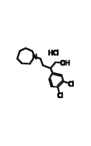 Cl.OCC(CCN1CCCCCC1)c1ccc(Cl)c(Cl)c1